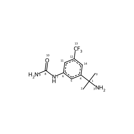 CC(C)(N)c1cc(NC(N)=O)cc(C(F)(F)F)c1